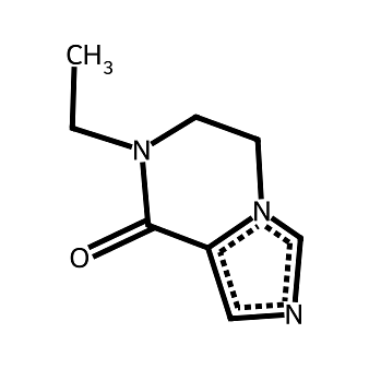 CCN1CCn2cncc2C1=O